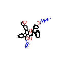 [N-]=[N+]=NCOc1ccc(C2(c3ccccc3)C=Cc3c4c(c5cc6c(cc5c3O2)OCC6)-c2ccccc2C4(O)CN=[N+]=[N-])cc1